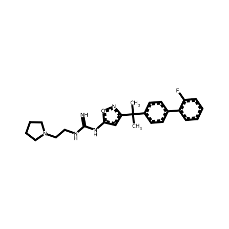 CC(C)(c1ccc(-c2ccccc2F)cc1)c1cc(NC(=N)NCCN2CCCC2)on1